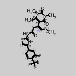 C=N/C=C(/CC(=O)Nc1nc(-c2ccc(C(F)(F)F)c(F)c2)cs1)c1c(N)n(C)c(=O)n(C)c1=O